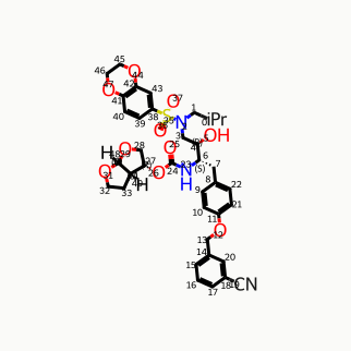 CC(C)CN(C[C@@H](O)[C@H](Cc1ccc(OCc2cccc(C#N)c2)cc1)NC(=O)O[C@H]1CO[C@H]2OCC[C@H]21)S(=O)(=O)c1ccc2c(c1)OCCO2